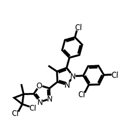 Cc1c(-c2nnc(C3(C)CC3(Cl)Cl)o2)nn(-c2ccc(Cl)cc2Cl)c1-c1ccc(Cl)cc1